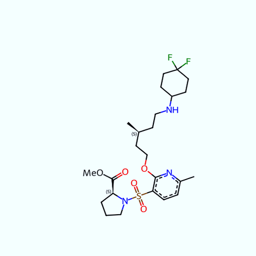 COC(=O)[C@@H]1CCCN1S(=O)(=O)c1ccc(C)nc1OCC[C@@H](C)CCNC1CCC(F)(F)CC1